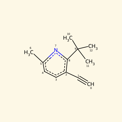 C#Cc1ccc(C)nc1C(C)(C)C